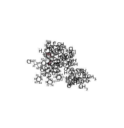 COC(=O)[C@@]1(OC[C@@H](O)[C@@H](O)[C@@H]2O[C@@](O[C@H]3[C@@H](O[C@@H]4O[C@H](COC(C)=O)[C@H](OCc5ccccc5)[C@H](O[Si](C)(C)C(C)(C)C)[C@H]4NC(=O)OCC(Cl)(Cl)Cl)[C@@H](COCc4ccccc4)O[C@@H](O[C@H]4C(OCc5ccccc5)[C@@H](OCc5ccccc5)[C@H](OCCCCCCl)O[C@@H]4COCc4ccccc4)[C@@H]3OC(=O)c3ccccc3)(C(=O)OC)C[C@@H]3OC(=O)N[C@@H]23)C[C@@H]2OC(=O)N[C@H]2[C@H]([C@H](OC(C)=O)[C@@H](COC(C)=O)OC(C)=O)O1